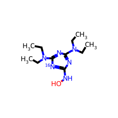 CCN(CC)c1nc(NO)[16n]c(N(CC)CC)n1